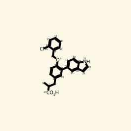 CC(Cc1ccc(OCc2ccccc2Cl)c(-c2ccc3[nH]ccc3c2)c1)C(=O)O